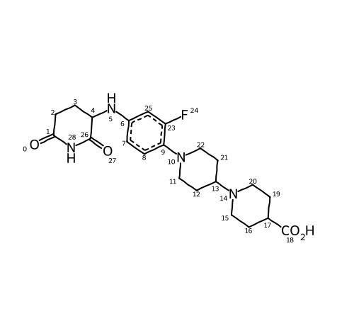 O=C1CCC(Nc2ccc(N3CCC(N4CCC(C(=O)O)CC4)CC3)c(F)c2)C(=O)N1